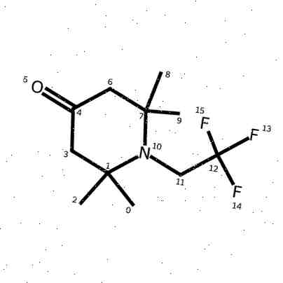 CC1(C)CC(=O)CC(C)(C)N1CC(F)(F)F